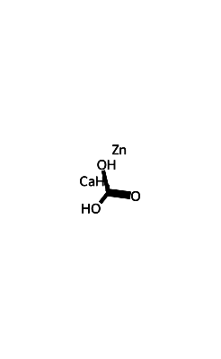 O=C(O)O.[CaH2].[Zn]